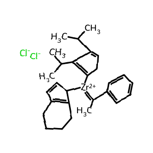 C/[C](c1ccccc1)=[Zr+2](/[C]1=C(C(C)C)C(C(C)C)=CC1)[CH]1C=CC2=C1CCCC2.[Cl-].[Cl-]